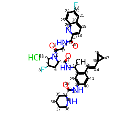 C[C@H](NC(=O)[C@@H]1C[C@@H](F)CN1C(=O)CNC(=O)c1ccc2cc(F)ccc2n1)c1cc(NC(=O)[C@H]2CCCCN2)ccc1/C=C/C1CC1.Cl